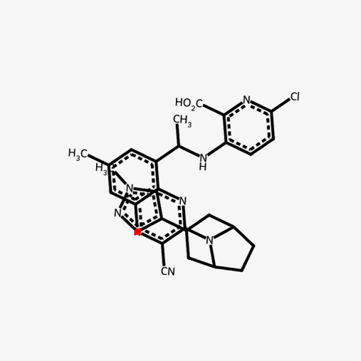 Cc1cc(C(C)Nc2ccc(Cl)nc2C(=O)O)c2nc(N3C4CCC3CC(c3cnn(C)c3)C4)c(C#N)nc2c1